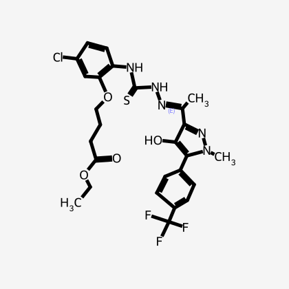 CCOC(=O)CCCOc1cc(Cl)ccc1NC(=S)N/N=C(\C)c1nn(C)c(-c2ccc(C(F)(F)F)cc2)c1O